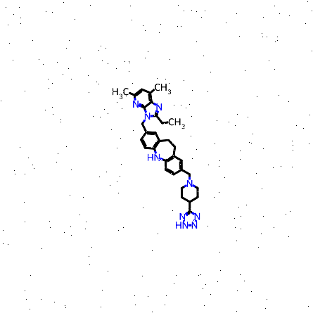 CCc1nc2c(C)cc(C)nc2n1Cc1ccc2c(c1)CCc1cc(CN3CCC(c4nn[nH]n4)CC3)ccc1N2